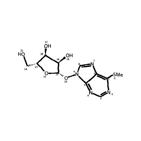 CSc1ncnc2c1ncn2O[C@@H]1O[C@H](CO)[C@@H](O)[C@H]1O